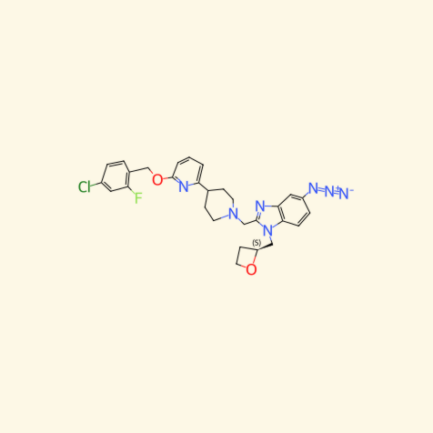 [N-]=[N+]=Nc1ccc2c(c1)nc(CN1CCC(c3cccc(OCc4ccc(Cl)cc4F)n3)CC1)n2C[C@@H]1CCO1